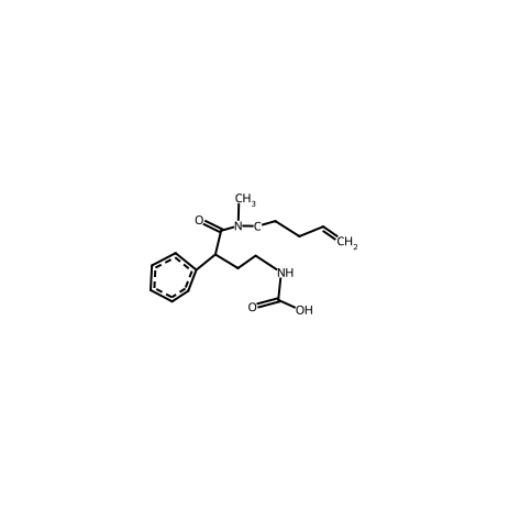 C=CCCCN(C)C(=O)C(CCNC(=O)O)c1ccccc1